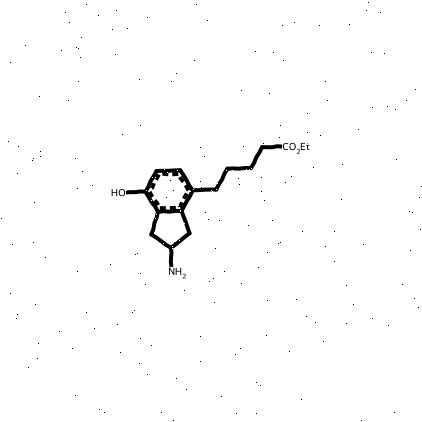 CCOC(=O)CCCCc1ccc(O)c2c1CC(N)C2